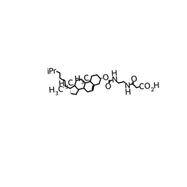 CC(C)CCC[C@@H](C)[C@H]1CCC2C3CC=C4C[C@@H](OC(=O)NCCNC(=O)CC(=O)O)CC[C@]4(C)C3CC[C@@]21C